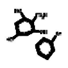 CC(=O)c1ccccc1.O=C(O)c1c(O)cc(O)cc1O